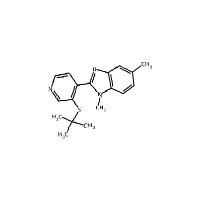 Cc1ccc2c(c1)nc(-c1ccncc1SC(C)(C)C)n2C